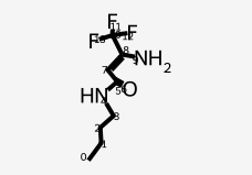 CCCCNC(=O)/C=C(\N)C(F)(F)F